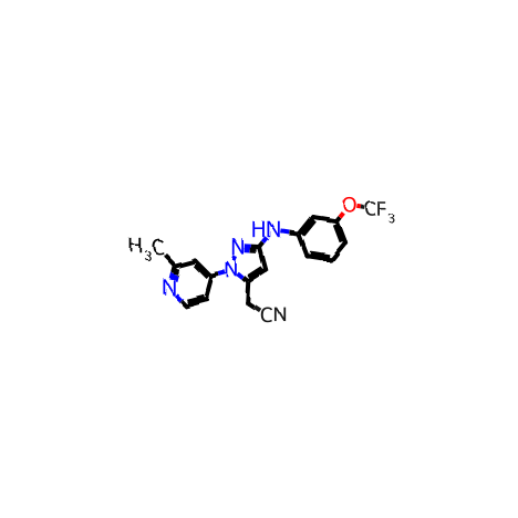 Cc1cc(-n2nc(Nc3cccc(OC(F)(F)F)c3)cc2CC#N)ccn1